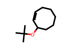 CC(C)(C)OC1/C=C\CCCCC1